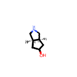 OC1C[C@H]2CNC[C@H]2C1